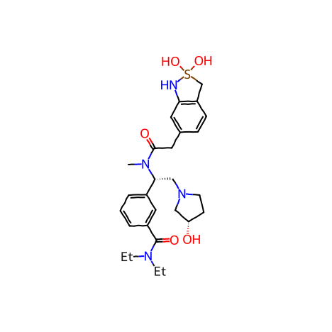 CCN(CC)C(=O)c1cccc([C@@H](CN2CC[C@H](O)C2)N(C)C(=O)Cc2ccc3c(c2)NS(O)(O)C3)c1